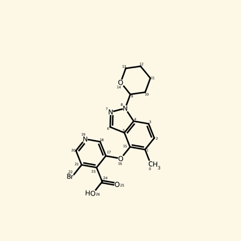 Cc1ccc2c(cnn2C2CCCCO2)c1Oc1cncc(Br)c1C(=O)O